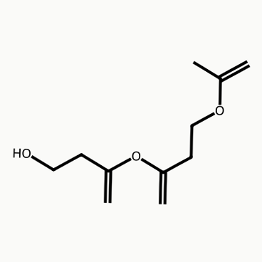 C=C(C)OCCC(=C)OC(=C)CCO